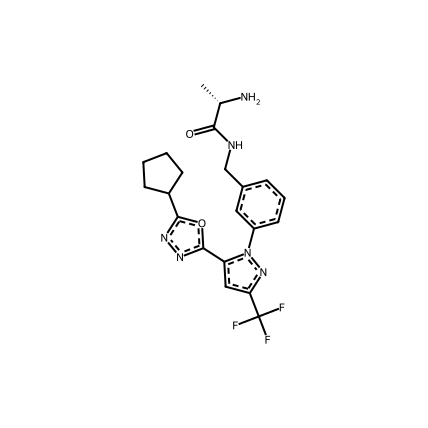 C[C@H](N)C(=O)NCc1cccc(-n2nc(C(F)(F)F)cc2-c2nnc(C3CCCC3)o2)c1